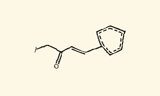 O=C(C=Cc1ccccc1)CI